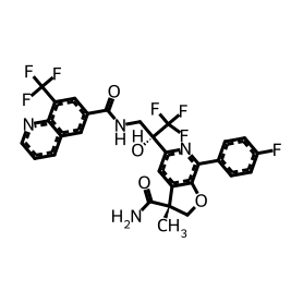 C[C@]1(C(N)=O)COc2c1cc([C@@](O)(CNC(=O)c1cc(C(F)(F)F)c3ncccc3c1)C(F)(F)F)nc2-c1ccc(F)cc1